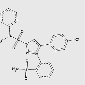 CN(c1ccccc1)S(=O)(=O)c1cc(-c2ccc(Cl)cc2)n(-c2ccccc2S(N)(=O)=O)n1